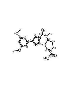 COc1cc(OC)cc(-c2cn(C(=O)N(C)C3CCN(C(=O)O)CC3)cn2)c1